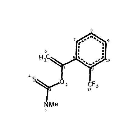 C=C(OC(=S)NC)c1ccccc1C(F)(F)F